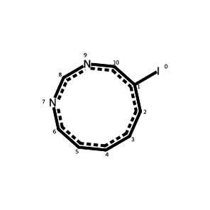 Ic1cccccncnc1